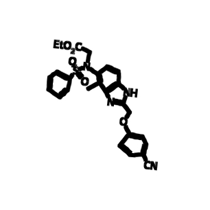 CCOC(=O)CN(c1ccc2[nH]c(COc3ccc(C#N)cc3)nc2c1C)S(=O)(=O)c1ccccc1